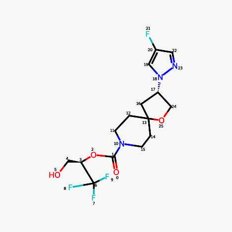 O=C(O[C@H](CO)C(F)(F)F)N1CCC2(CC1)C[C@H](n1cc(F)cn1)CO2